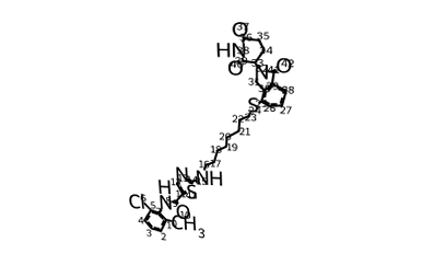 Cc1cccc(Cl)c1NC(=O)c1cnc(NCCCCCCCCSc2cccc3c2CN(C2CCC(=O)NC2=O)C3=O)s1